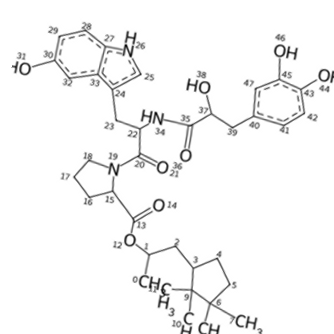 CC(CC1CCC(C)(C)C1(C)C)OC(=O)C1CCCN1C(=O)C(Cc1c[nH]c2ccc(O)cc12)NC(=O)C(O)Cc1ccc(O)c(O)c1